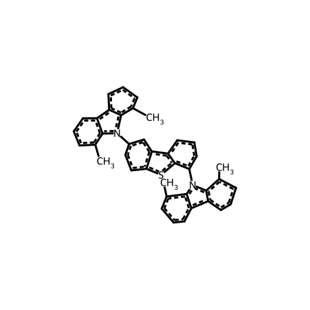 Cc1cccc2c3cccc(C)c3n(-c3ccc4sc5c(-n6c7c(C)cccc7c7cccc(C)c76)cccc5c4c3)c12